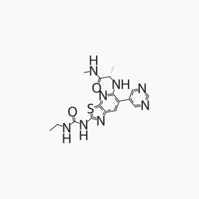 CCNC(=O)Nc1nc2cc(-c3cncnc3)c(N[C@@H](C)C(=O)NC)nc2s1